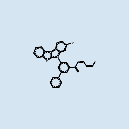 C=C(/C=C\C=C/C)c1cc(-c2ccccc2)cc(-n2c3cc(Br)ccc3n3c4ccccc4nc23)c1